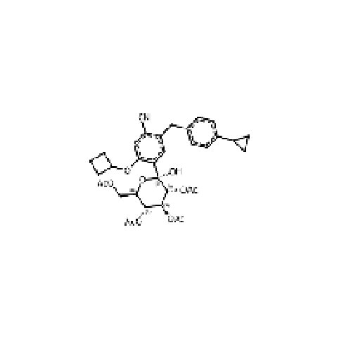 CC(=O)OC[C@H]1O[C@@](O)(c2cc(Cc3ccc(C4CC4)cc3)c(C#N)cc2OC2CCC2)[C@H](OC(C)=O)[C@@H](OC(C)=O)[C@@H]1OC(C)=O